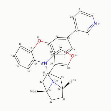 c1cncc(-c2ccc3c(c2)Oc2ccccc2N3[C@H]2C[C@H]3CC[C@@H](C2)N3Cc2ccoc2)c1